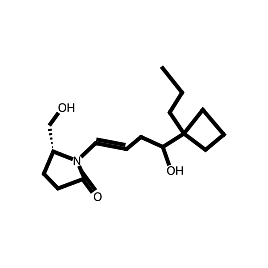 CCCC1(C(O)C/C=C/N2C(=O)CC[C@@H]2CO)CCC1